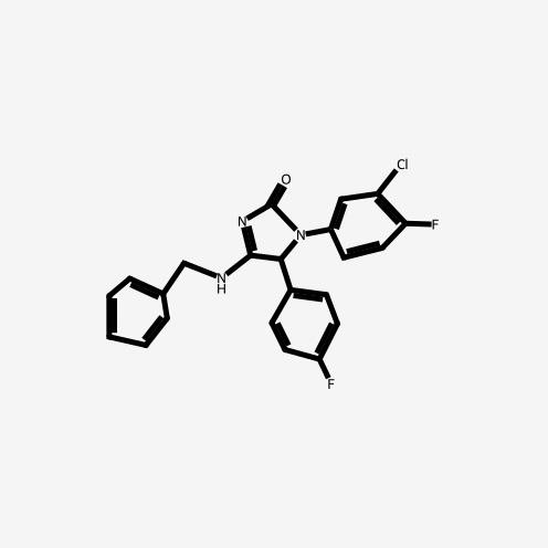 O=C1N=C(NCc2ccccc2)C(c2ccc(F)cc2)N1c1ccc(F)c(Cl)c1